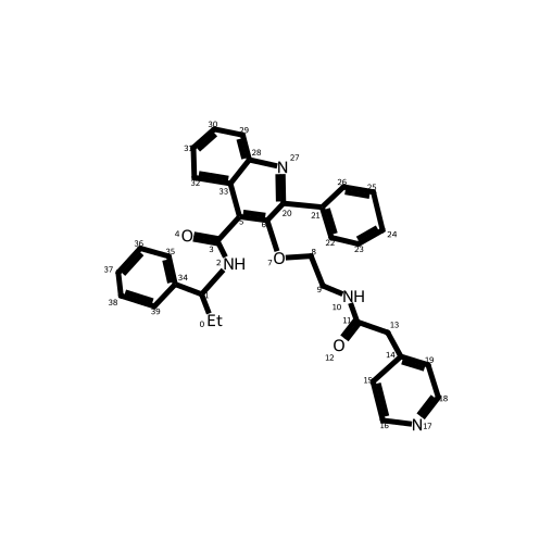 CCC(NC(=O)c1c(OCCNC(=O)Cc2ccncc2)c(-c2ccccc2)nc2ccccc12)c1ccccc1